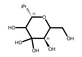 CC(C)[C@@H]1OC(CO)[C@@H](O)C(O)(O)C1O